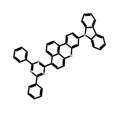 c1ccc(-c2nc(-c3ccccc3)nc(-c3ccc4c5c(cccc35)-c3ccc(-n5c6ccccc6c6ccccc65)cc3O4)n2)cc1